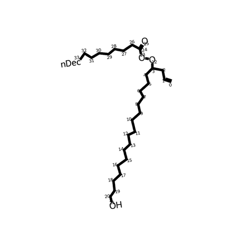 C=CCC(CCCCCCCCCCCCCCCCCO)OOC(=O)CCCCCCCCCCCCCCCCC